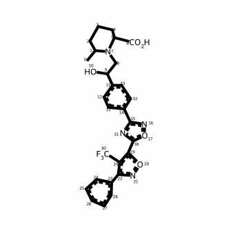 CC1CCCC(C(=O)O)N1CC(O)c1ccc(-c2noc(-c3onc(-c4ccccc4)c3C(F)(F)F)n2)cc1